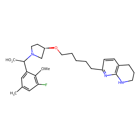 COc1c(F)cc(C)cc1C(C(=O)O)N1CC[C@@H](OCCCCCc2ccc3c(n2)NCCC3)C1